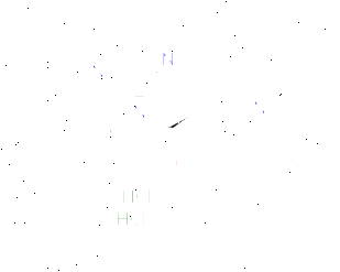 Cl.Cl.N[C@@H]1CCN(CC2CC2)C[C@H]1C(=O)NC1(c2ccccn2)CC1